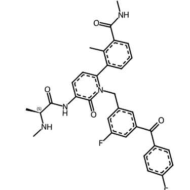 CNC(=O)c1cccc(-c2ccc(NC(=O)[C@H](C)NC)c(=O)n2Cc2cc(F)cc(C(=O)c3ccc(F)cc3)c2)c1C